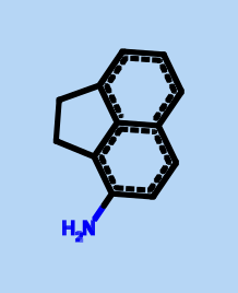 Nc1ccc2cccc3c2c1CC3